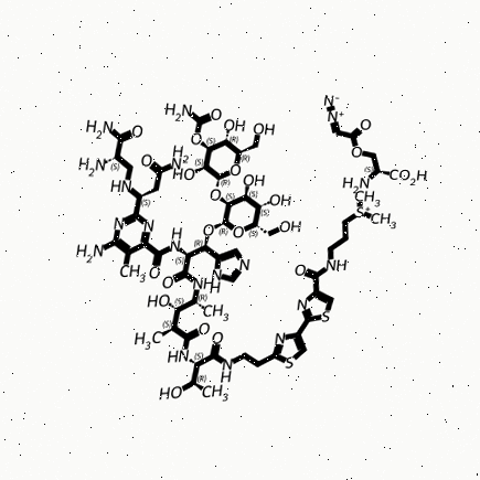 Cc1c(N)nc([C@H](CC(N)=O)NC[C@H](N)C(N)=O)nc1C(=O)N[C@H](C(=O)N[C@H](C)[C@@H](O)[C@H](C)C(=O)N[C@H](C(=O)NCCc1nc(-c2nc(C(=O)NCCC[S+](C)C)cs2)cs1)[C@@H](C)O)[C@@H](O[C@@H]1O[C@@H](CO)[C@@H](O)[C@H](O)[C@@H]1O[C@H]1O[C@H](CO)[C@@H](O)[C@H](OC(N)=O)[C@@H]1O)c1cnc[nH]1.[N-]=[N+]=CC(=O)OC[C@H](N)C(=O)O